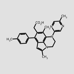 Cc1ccc(-c2c(CC(=O)O)c(C)c3c4c2cc(C)n4CCN3c2cnc(C)cn2)cc1